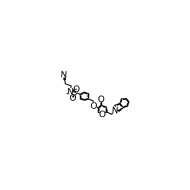 CN(CCC#N)S(=O)(=O)c1ccc(COc2coc(Cn3cc4ccccc4c3)cc2=O)cc1